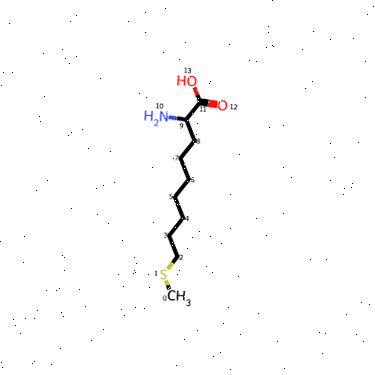 CSCCCCCCCC(N)C(=O)O